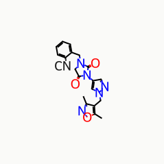 Cc1noc(C)c1Cn1cc(N2C(=O)CN(Cc3ccccc3C#N)C2=O)cn1